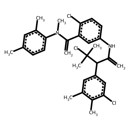 C=C(Nc1ccc(Cl)c(C(=C)N(C)c2ccc(C)cc2C)c1)C(c1cc(C)c(C)c(Cl)c1)C(C)(C)Cl